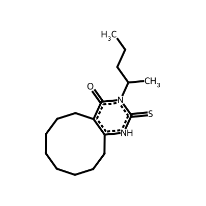 CCCC(C)n1c(=S)[nH]c2c(c1=O)CCCCCCCC2